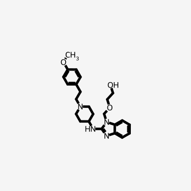 COc1ccc(CCN2CCC(Nc3nc4ccccc4n3COCCO)CC2)cc1